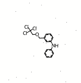 ClC(Cl)(Cl)COCc1cccc(Nc2ccccc2)c1